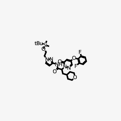 CC(C)(C)[Si](C)(C)OCCn1ccc(NC(=O)C(CC2CCOCC2)n2ncc(Oc3c(F)cccc3F)cc2=O)n1